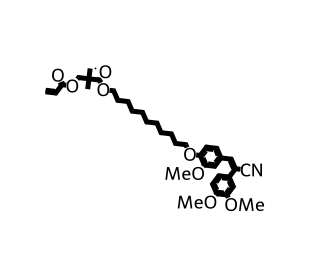 [CH2]C(C)(COC(=O)C=C)C(=O)OCCCCCCCCCCCOc1ccc(C=C(C#N)c2ccc(OC)c(OC)c2)cc1OC